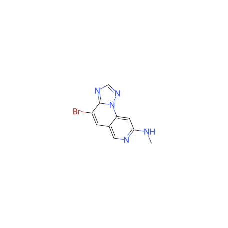 CNc1cc2c(cn1)cc(Br)c1ncnn12